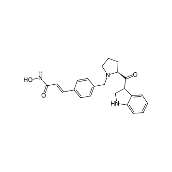 O=C(/C=C/c1ccc(CN2CCC[C@H]2C(=O)C2CNc3ccccc32)cc1)NO